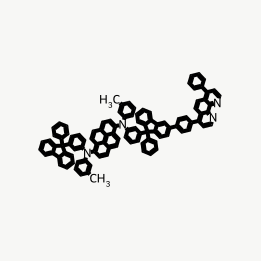 Cc1cccc(N(c2cccc(C3(c4ccccc4)c4ccccc4-c4ccccc43)c2)c2ccc3ccc4c(N(c5cccc(C)c5)c5cccc(C6(c7ccccc7)c7ccccc7-c7cc(-c8ccc(-c9ccnc%10c9ccc9c(-c%11ccccc%11)ccnc9%10)cc8)ccc76)c5)ccc5ccc2c3c54)c1